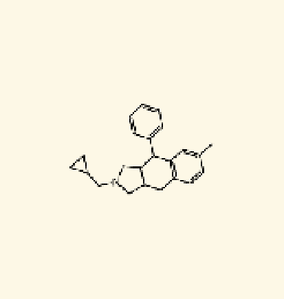 Cc1ccc2c(c1)C(c1ccccc1)C1CN(CC3CC3)CC1C2